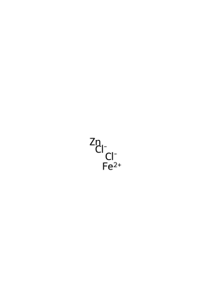 [Cl-].[Cl-].[Fe+2].[Zn]